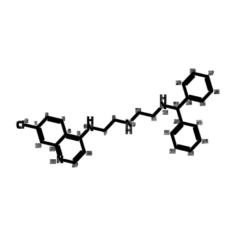 Clc1ccc2c(NCCNCCNC(c3ccccc3)c3ccccc3)ccnc2c1